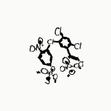 COP(=O)(OC)O/C(=C\Cl)c1cc(Cl)c(Cl)cc1Cl.COP(=S)(OC)Oc1ccc([N+](=O)[O-])c(C)c1